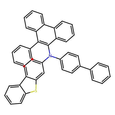 c1ccc(-c2ccc(N(c3ccc4c(c3)sc3ccccc34)c3c(-c4ccccc4)c4ccccc4c4ccccc34)cc2)cc1